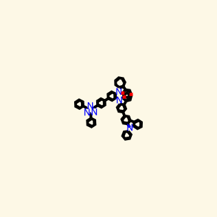 C1=CCc2c(c3ccccc3n2-c2ccc(-c3ccc(-c4nc(-c5ccccc5)nc(-c5ccccc5)n4)cc3)cc2-n2c3ccccc3c3cc(-c4ccc5c(c4)c4ccccc4n5-c4ccccc4)ccc32)C=C1